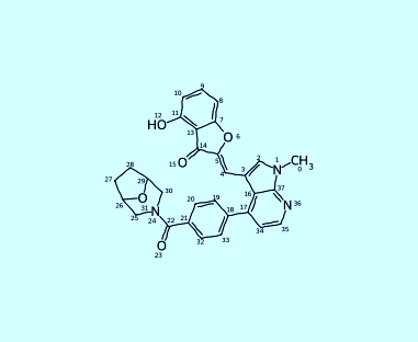 Cn1cc(C=C2Oc3cccc(O)c3C2=O)c2c(-c3ccc(C(=O)N4CC5CCC(C4)O5)cc3)ccnc21